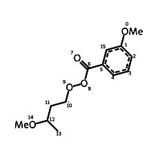 COc1cccc(C(=O)OO[CH]CC(C)OC)c1